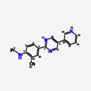 CC(C)Nc1ccc(-c2ncc(-c3cccnc3)cn2)cc1C#N